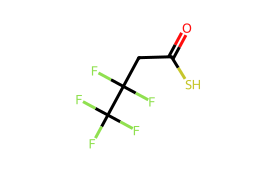 O=C(S)CC(F)(F)C(F)(F)F